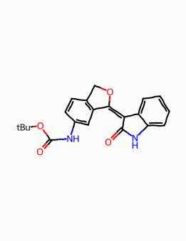 CC(C)(C)OC(=O)Nc1ccc2c(c1)C(=C1C(=O)Nc3ccccc31)OC2